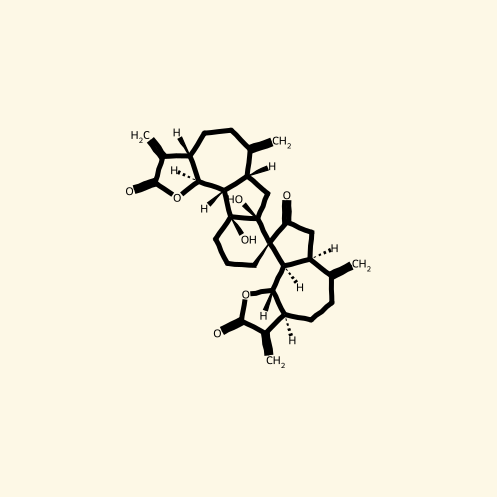 C=C1C(=O)O[C@@H]2[C@@H]3[C@@H](C[C@@]4(O)[C@]3(O)CCC[C@]43C(=O)C[C@H]4C(=C)CC[C@H]5C(=C)C(=O)O[C@@H]5[C@H]43)C(=C)CC[C@@H]12